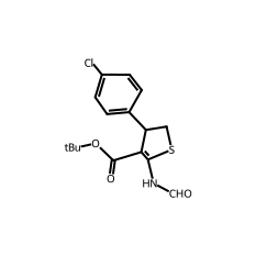 CC(C)(C)OC(=O)C1=C(NC=O)SCC1c1ccc(Cl)cc1